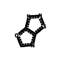 c1nc2snnc2o1